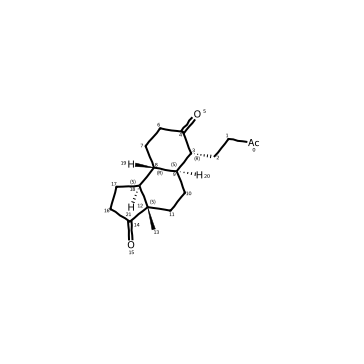 CC(=O)CC[C@H]1C(=O)CC[C@@H]2[C@@H]1CC[C@]1(C)C(=O)CC[C@@H]21